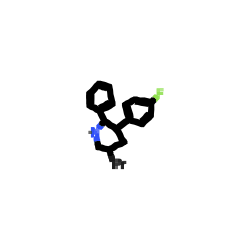 CC(C)C1C[N]C(c2ccccc2)C(c2ccc(F)cc2)C1